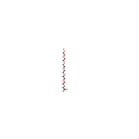 COCCOCCOCCOCCOCCOCCOCC(=O)Cl